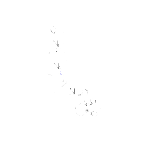 C=C/C(=C\C1=C(C)C(C)(C)CN(C(=O)c2cccc3c2OCO3)C1)N1CCC(N2CCOCC2)CC1